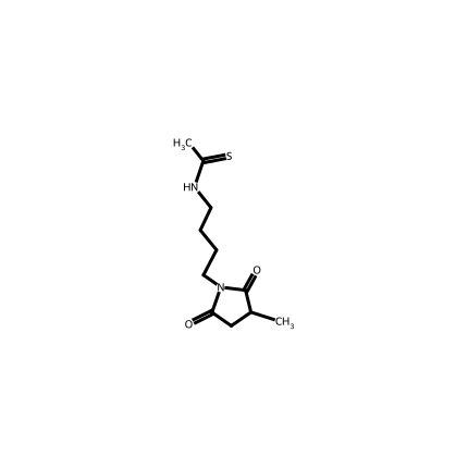 CC(=S)NCCCCN1C(=O)CC(C)C1=O